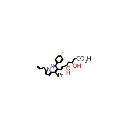 C=CCc1ccc2c(C(C)C)c(/C=C/C(O)CC(O)CC(=O)O)c(-c3ccc(F)cc3)nn12